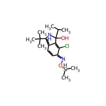 CC(C)C1(O)NC(C(C)(C)C)=C2C=CC(=NO[SiH](C)C)C(Cl)=C21